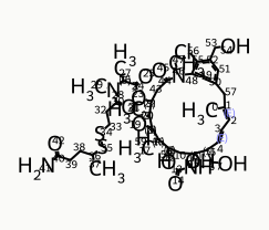 C/C1=C\C=C\[C@@H](CO)[C@@]2(O)C[C@H](OC(=O)N2)[C@@H](C)[C@@H]2O[C@@]2(C)[C@@H](OC(=O)[C@H](C)N(C)C(=O)CCSSC(C)CCC(N)=O)CC(=O)N(C)c2cc(cc(CO)c2Cl)C1